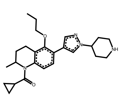 CCCOc1c(-c2cnn(C3CCNCC3)c2)ccc2c1CCC(C)N2C(=O)C1CC1